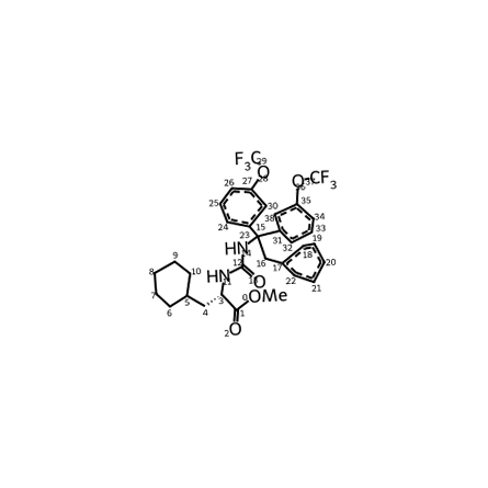 COC(=O)[C@H](CC1CCCCC1)NC(=O)NC(Cc1ccccc1)(c1cccc(OC(F)(F)F)c1)c1cccc(OC(F)(F)F)c1